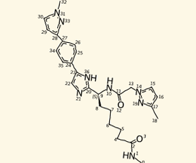 CNC(=O)CCCCC[C@H](NC(=O)Cn1ccc(C)n1)c1ncc(-c2ccc(-c3ccn(C)n3)cc2)[nH]1